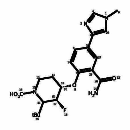 Cn1cnc(-c2ccc(O[C@H]3CCN(C(=O)O)C(C(C)(C)C)[C@@H]3F)c(C(N)=O)c2)c1